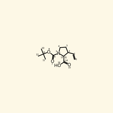 C=CC1CCN(C(=O)OC(C)(C)C)[C@@H]1C(=O)O